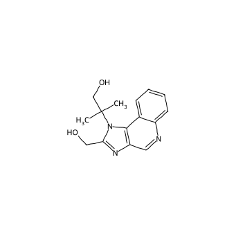 CC(C)(CO)n1c(CO)nc2cnc3ccccc3c21